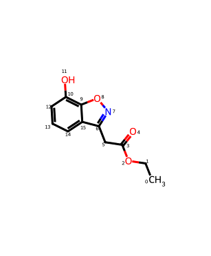 CCOC(=O)Cc1noc2c(O)cccc12